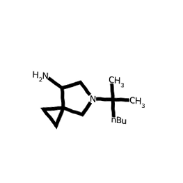 CCCCC(C)(C)N1CC(N)C2(CC2)C1